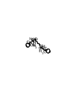 C[C@@]12CCC#CCC[C@]1(C)C2COC(=O)NCCCCC(NC(=O)OCC1[C@]2(C)CCC#CCC[C@]12C)C(=O)O